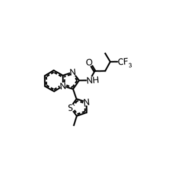 Cc1cnc(-c2c(NC(=O)CC(C)C(F)(F)F)nc3ccccn23)s1